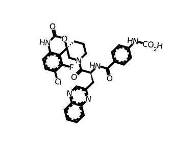 O=C(O)Nc1ccc(C(=O)N[C@@H](Cc2cnc3ccccc3n2)C(=O)N2CCC[C@@]3(C2)OC(=O)Nc2ccc(Cl)c(F)c23)cc1